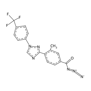 Cc1cc(C(=O)N=[N+]=[N-])ccc1-c1ncn(-c2ccc(C(F)(F)F)cc2)n1